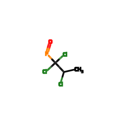 CC(Cl)C(Cl)(Cl)P=O